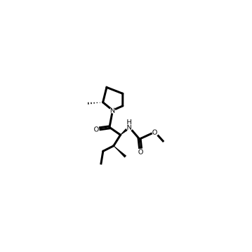 CC[C@H](C)[C@H](NC(=O)OC)C(=O)N1CCC[C@H]1C